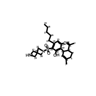 C=C(C)C1CCC(C)=CC1c1c(O)cc(CCCCC)c(S(=O)(=O)N2CC3(CNC3)C2)c1O